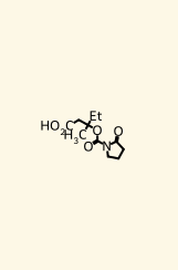 CCC(C)(CC(=O)O)OC(=O)N1CCCC1=O